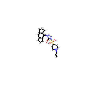 C=CCN1CCC(S(=O)(=O)NC(=O)Nc2c3c(cc4c2CCC4)CCC3)CC1